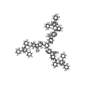 CC(Cc1c(-c2ccccc2)nc(-c2ccccc2)nc1-c1ccccc1)c1cc2c(cn1)-c1cnc(-c3cc(-c4cc5c(cn4)-c4cnc(C(C)Cc6c(-c7ccccc7)nc(-c7ccccc7)nc6-c6ccccc6)cc4[SiH]5C)cc(-c4cc5c(cn4)-c4cnc(C(C)Cc6c(-c7ccccc7)nc(-c7ccccc7)nc6-c6ccccc6)cc4[Si]5(C)C)c3)cc1[SiH]2C